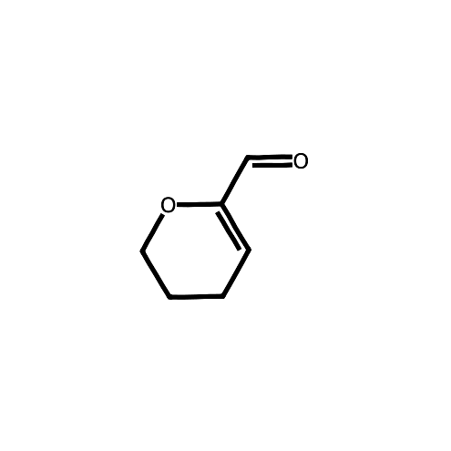 O=CC1=CCCCO1